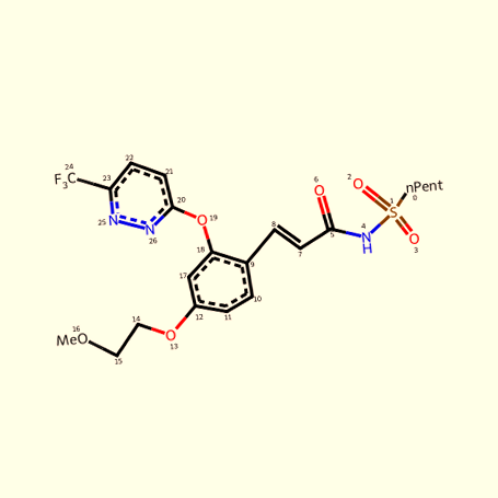 CCCCCS(=O)(=O)NC(=O)/C=C/c1ccc(OCCOC)cc1Oc1ccc(C(F)(F)F)nn1